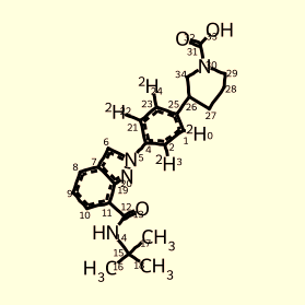 [2H]c1c([2H])c(-n2cc3cccc(C(=O)NC(C)(C)C)c3n2)c([2H])c([2H])c1C1CCCN(C(=O)O)C1